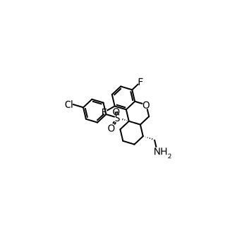 NC[C@@H]1CCC[C@@]2(S(=O)(=O)c3ccc(Cl)cc3)c3c(F)ccc(F)c3OCC12